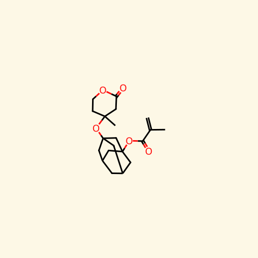 C=C(C)C(=O)OC12CC3CC(C1)CC(OC1(C)CCOC(=O)C1)(C3)C2